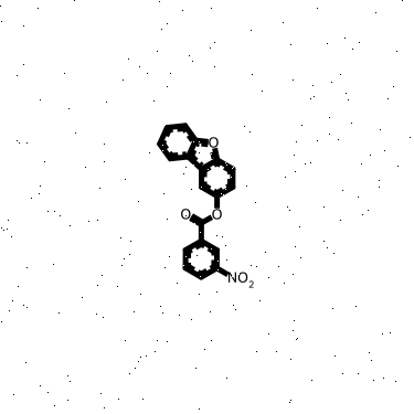 O=C(Oc1ccc2oc3ccccc3c2c1)c1cccc([N+](=O)[O-])c1